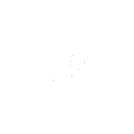 O=CC1(C(=O)NCC(F)(F)F)CCC(=O)C1